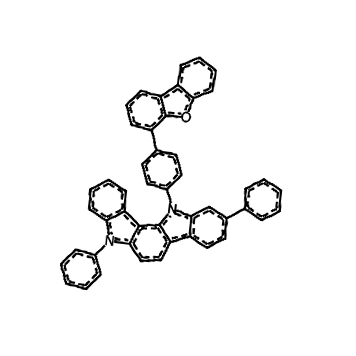 c1ccc(-c2ccc3c4ccc5c(c6ccccc6n5-c5ccccc5)c4n(-c4ccc(-c5cccc6c5oc5ccccc56)cc4)c3c2)cc1